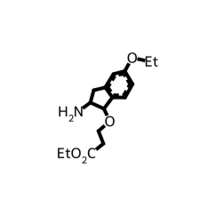 CCOC(=O)CCOC1c2ccc(OCC)cc2CC1N